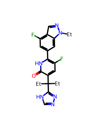 CCn1ncc2c(F)cc(-c3[nH]c(=O)c(C(CC)(CC)c4nnc[nH]4)cc3F)cc21